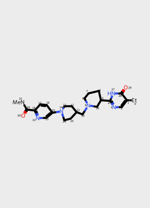 CCc1cnc(C2CCCN(CC3CCN(c4ccc(C(=O)NC)nc4)CC3)C2)[nH]c1=O